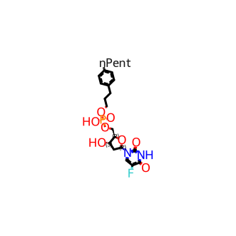 CCCCCc1ccc(CCCOP(=O)(O)OC[C@H]2O[C@@H](n3cc(F)c(=O)[nH]c3=O)C[C@@H]2O)cc1